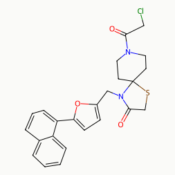 O=C(CCl)N1CCC2(CC1)SCC(=O)N2Cc1ccc(-c2cccc3ccccc23)o1